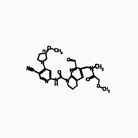 COCC(=O)N(C)Cc1cc2c(nc1C=O)N(C(=O)Nc1cc(N3CC[C@@H](OC)C3)c(C#N)cn1)CCC2